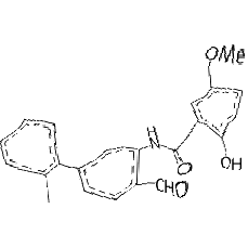 COc1ccc(O)c(C(=O)Nc2cc(-c3ccccc3C)ccc2C=O)c1